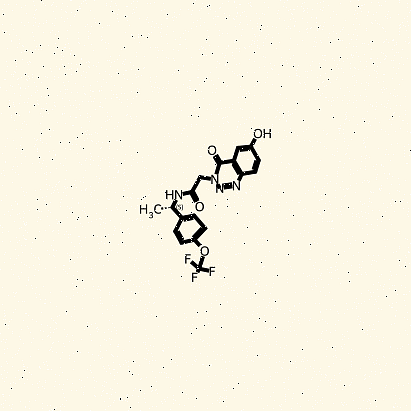 C[C@H](NC(=O)Cn1nnc2ccc(O)cc2c1=O)c1ccc(OC(F)(F)F)cc1